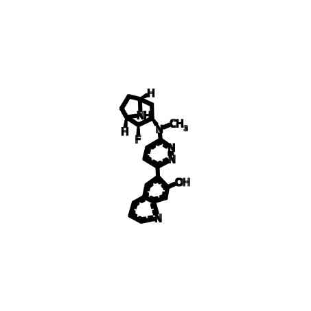 CN(c1ccc(-c2cc3cccnc3cc2O)nn1)[C@@H]1C[C@H]2CC[C@H](N2)[C@@H]1F